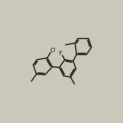 Cc1ccc(Cl)c(-c2cc(C)cc(-c3ccccc3C)c2F)c1